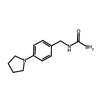 BC(=O)NCc1ccc(N2CCCC2)cc1